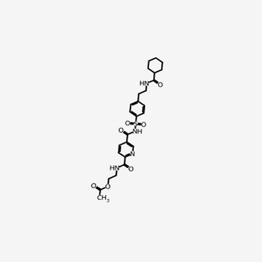 CC(=O)OCCNC(=O)c1ccc(C(=O)NS(=O)(=O)c2ccc(CCNC(=O)C3CCCCC3)cc2)cn1